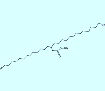 CCCCCCCCCCCCCCN(CCCCCCCCCCCCCC)CC(=O)OO